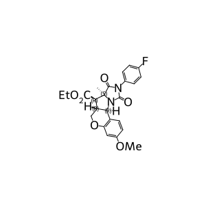 CCOC(=O)[C@@H]1[C@H]2COc3cc(OC)ccc3[C@@H]2N2C(=O)N(c3ccc(F)cc3)C(=O)[C@]12C